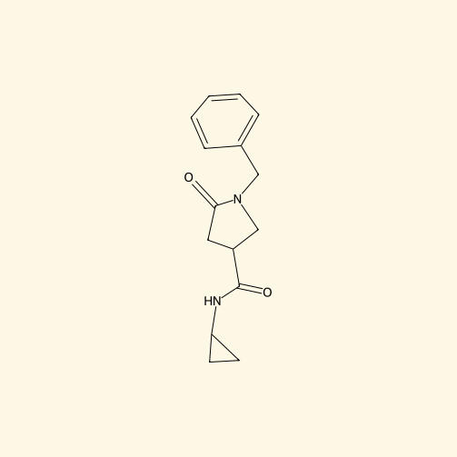 O=C(NC1CC1)C1CC(=O)N(Cc2ccccc2)C1